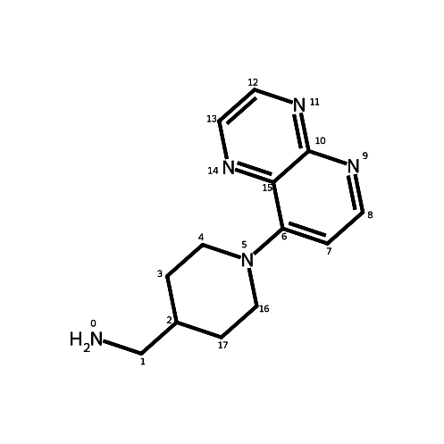 NCC1CCN(c2ccnc3nccnc23)CC1